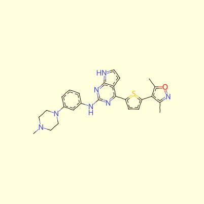 Cc1noc(C)c1-c1ccc(-c2nc(Nc3cccc(N4CCN(C)CC4)c3)nc3[nH]ccc23)s1